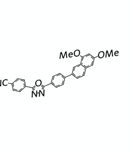 COc1cc(OC)c2cc(-c3ccc(-c4nnc(-c5ccc(C#N)cc5)o4)cc3)ccc2c1